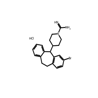 Cl.N=C(N)N1CCC(C2c3ccccc3CCc3ccc(Br)cc32)CC1